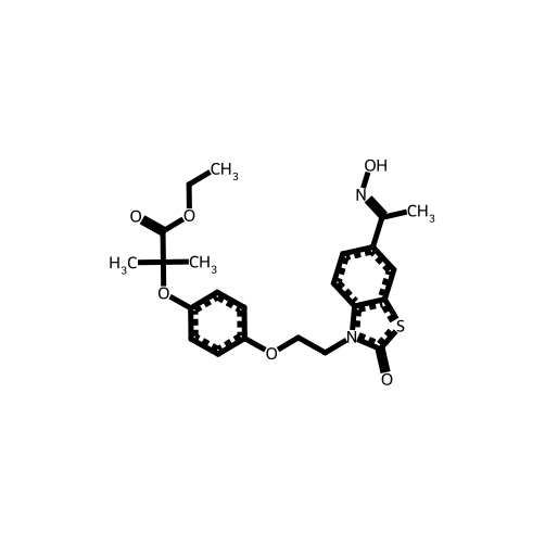 CCOC(=O)C(C)(C)Oc1ccc(OCCn2c(=O)sc3cc(C(C)=NO)ccc32)cc1